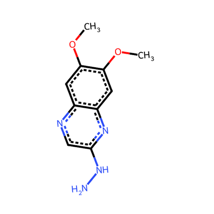 COc1cc2ncc(NN)nc2cc1OC